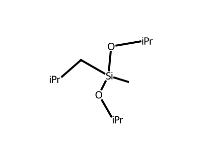 CC(C)C[Si](C)(OC(C)C)OC(C)C